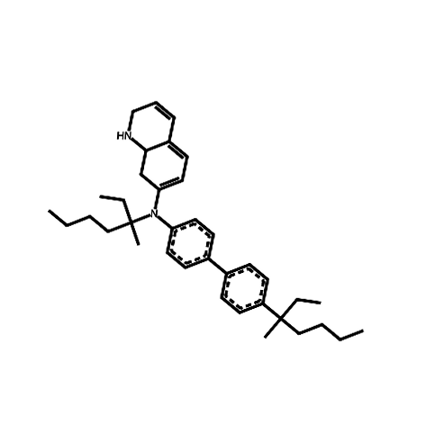 CCCCC(C)(CC)c1ccc(-c2ccc(N(C3=CC=C4C=CCNC4C3)C(C)(CC)CCCC)cc2)cc1